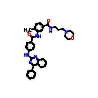 Cc1ccc(C(=O)NCCCN2CCOCC2)cc1NC(=O)c1ccc(Nc2nc(-c3ccccc3)c3ccccc3n2)cc1